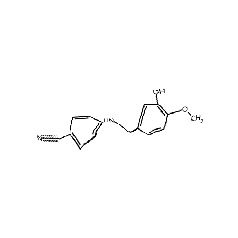 COc1ccc(CNc2ccc(C#N)cc2)cc1O